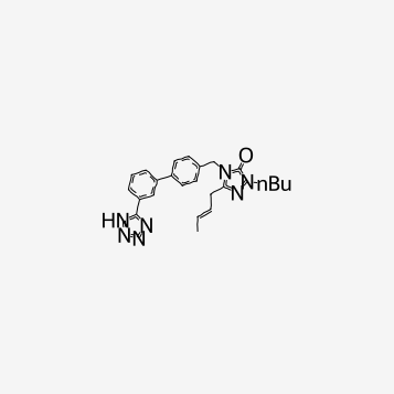 CC=CCc1nn(CCCC)c(=O)n1Cc1ccc(-c2cccc(-c3nnn[nH]3)c2)cc1